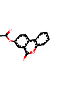 CC(=O)Oc1ccc2c(c1)c(=O)oc1ccccc12